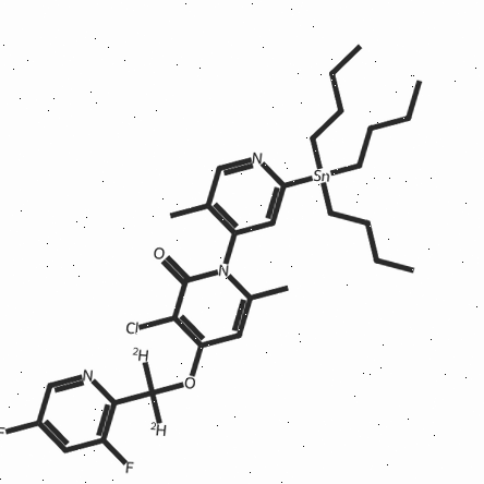 [2H]C([2H])(Oc1cc(C)n(-c2c[c]([Sn]([CH2]CCC)([CH2]CCC)[CH2]CCC)ncc2C)c(=O)c1Cl)c1ncc(F)cc1F